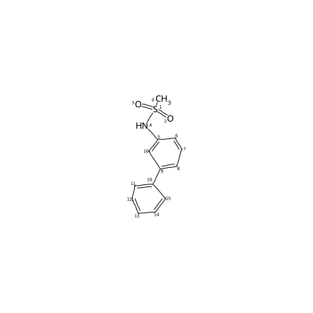 CS(=O)(=O)Nc1cccc(-c2c[c]ccc2)c1